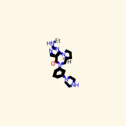 CCNc1ncc2c(n1)N1CCC[C@H]1CN(c1cccc(N3CCNCC3)c1)C2=O